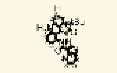 CC(C)(C)OC(=O)NC(c1c(N)cccc1NC(=O)c1cnn2cccnc12)C1CCNCC1